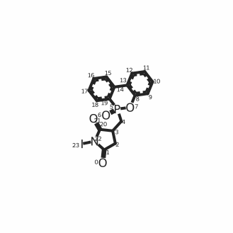 O=C1CC(CP2(=O)Oc3ccccc3-c3ccccc32)C(=O)N1I